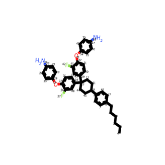 CCCCCCc1ccc(C2CCC(c3ccc(Oc4ccc(N)cc4)c(F)c3)(c3ccc(Oc4ccc(N)cc4)c(F)c3)CC2)cc1